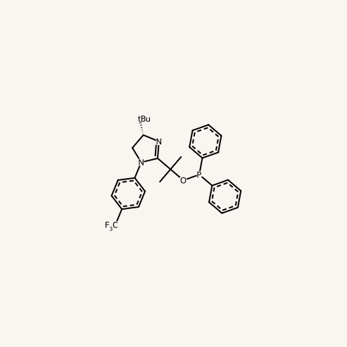 CC(C)(OP(c1ccccc1)c1ccccc1)C1=N[C@@H](C(C)(C)C)CN1c1ccc(C(F)(F)F)cc1